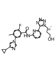 Cc1cc(F)c(C(=O)Nc2cccc(-c3nnnn3[C@H](C)CCO)n2)cc1-n1cnc(C2CC2)c1